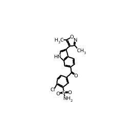 Cc1noc(C)c1-c1c[nH]c2cc(C(=O)c3ccc(Cl)c(S(N)(=O)=O)c3)ccc12